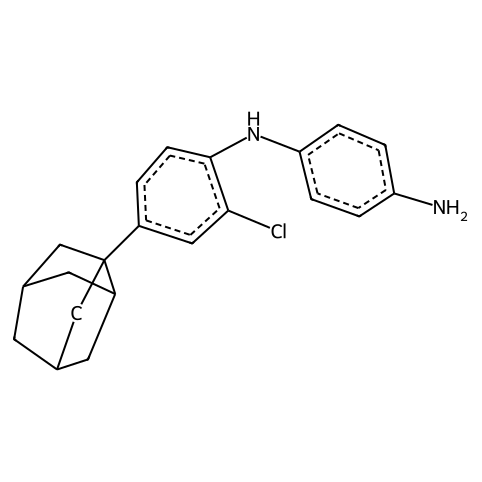 Nc1ccc(Nc2ccc(C34CC5CC(CC3C5)C4)cc2Cl)cc1